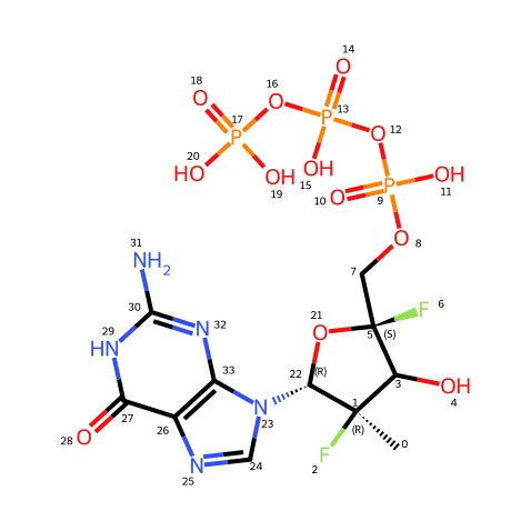 C[C@@]1(F)C(O)[C@@](F)(COP(=O)(O)OP(=O)(O)OP(=O)(O)O)O[C@H]1n1cnc2c(=O)[nH]c(N)nc21